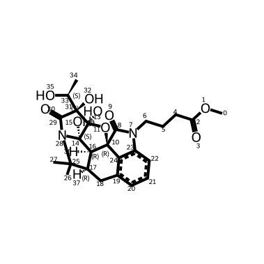 COC(=O)CCCN1C(=O)[C@@]23O[C@@]4(O)[C@@]5(O)[C@@H]2[C@@H](Cc2cccc1c23)C(C)(C)N5C(=O)[C@]4(O)[C@H](C)O